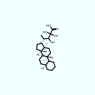 CC(C(O)C(O)(O)C(=O)O)[C@H]1CC[C@H]2[C@@H]3CC[C@@H]4CCCC[C@]4(C)[C@H]3CC[C@]12C